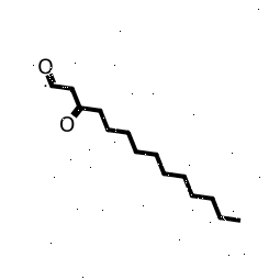 CCCCCCCCCCCC(=O)C[C]=O